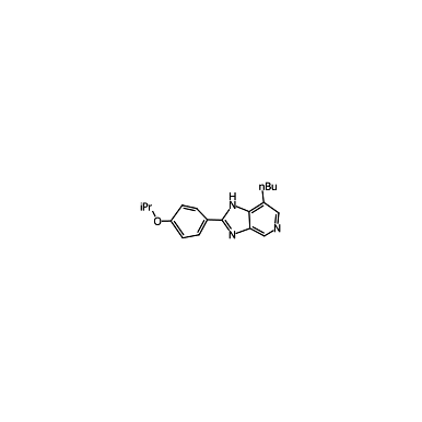 CCCCc1cncc2nc(-c3ccc(OC(C)C)cc3)[nH]c12